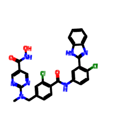 CN(Cc1ccc(C(=O)Nc2ccc(Cl)c(-c3nc4ccccc4[nH]3)c2)c(Cl)c1)c1ncc(C(=O)NO)cn1